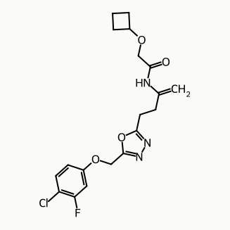 C=C(CCc1nnc(COc2ccc(Cl)c(F)c2)o1)NC(=O)COC1CCC1